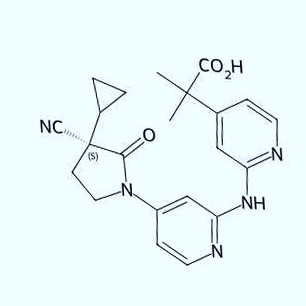 CC(C)(C(=O)O)c1ccnc(Nc2cc(N3CC[C@@](C#N)(C4CC4)C3=O)ccn2)c1